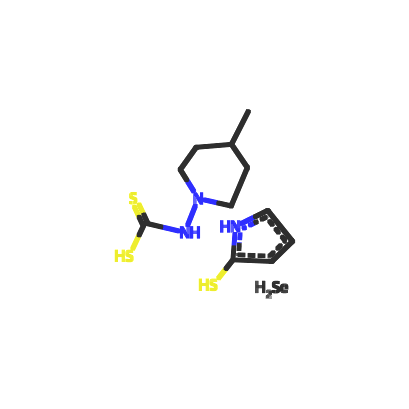 CC1CCN(NC(=S)S)CC1.Sc1ccc[nH]1.[SeH2]